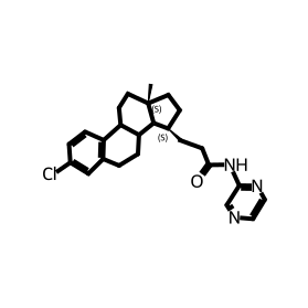 C[C@]12CCC3c4ccc(Cl)cc4CCC3C1[C@H](CCC(=O)Nc1cnccn1)CC2